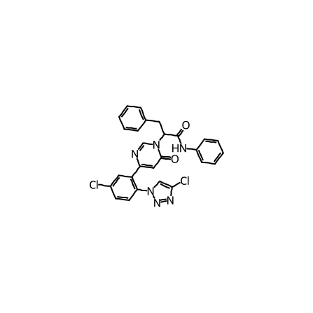 O=C(Nc1ccccc1)C(Cc1ccccc1)n1cnc(-c2cc(Cl)ccc2-n2cc(Cl)nn2)cc1=O